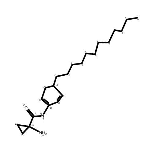 CCCCCCCCCCCCC1C=CC(NC(=O)C2(N)CC2)=CC1